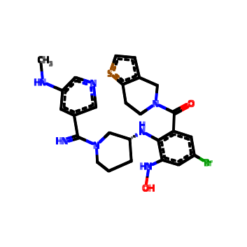 CNc1cncc(C(=N)N2CCC[C@@H](Nc3c(NO)cc(Br)cc3C(=O)N3CCc4sccc4C3)C2)c1